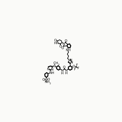 CN(c1ccc(NC(=O)Nc2ccc(OC(F)(F)F)c(-c3cn(CCCCNc4cccc5c4C(=O)N(C4CCC(=O)NC4=O)C5=O)nn3)c2)cc1)c1ccnc(Nc2cccc(S(N)(=O)=O)c2)n1